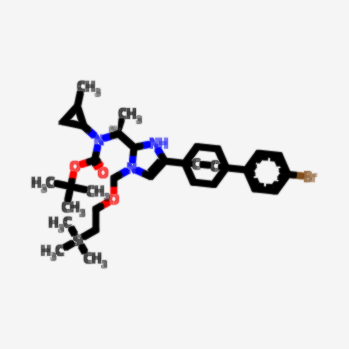 CC1CC1N(C(=O)OC(C)(C)C)[C@@H](C)C1NC(C23CCC(c4ccc(Br)cc4)(CC2)CC3)=CN1COCC[Si](C)(C)C